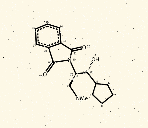 CNC[C@H]([C@H](O)C1CCCC1)N1C(=O)c2ccccc2C1=O